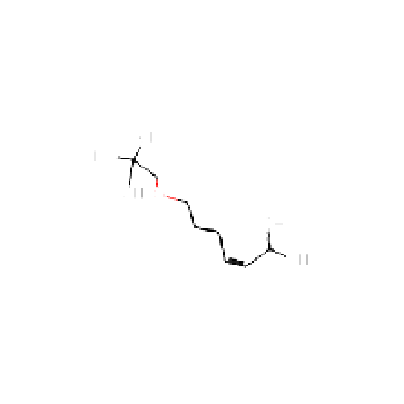 CC(C)/C=C\CCCOCC(C)(C)C